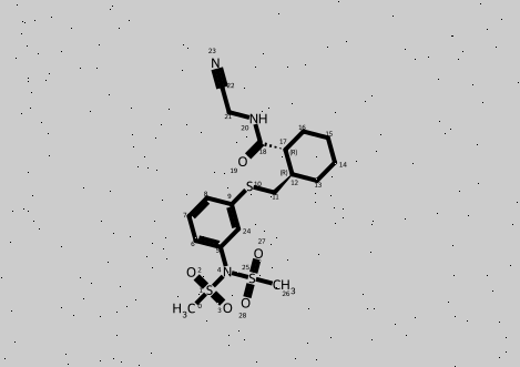 CS(=O)(=O)N(c1cccc(SC[C@@H]2CCCC[C@H]2C(=O)NCC#N)c1)S(C)(=O)=O